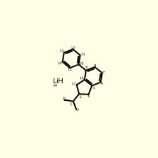 CC(C)C1Cc2cccc(-c3ccccc3)c2C1.[LiH]